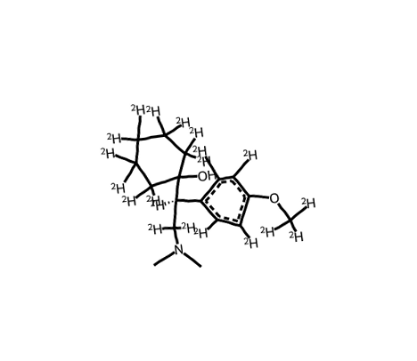 [2H]c1c([2H])c([C@@]([2H])(C([2H])([2H])N(C)C)C2(O)C([2H])([2H])C([2H])([2H])C([2H])([2H])C([2H])([2H])C2([2H])[2H])c([2H])c([2H])c1OC([2H])([2H])[2H]